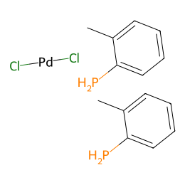 Cc1ccccc1P.Cc1ccccc1P.[Cl][Pd][Cl]